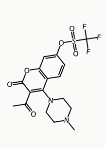 CC(=O)c1c(N2CCN(C)CC2)c2ccc(OS(=O)(=O)C(F)(F)F)cc2oc1=O